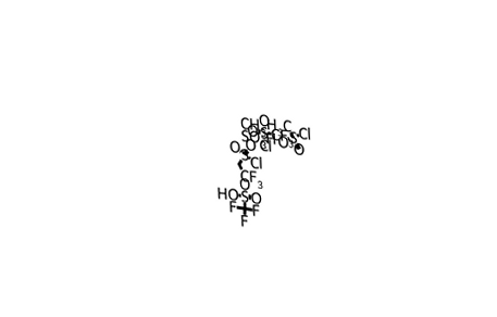 CS(=O)(=O)Cl.CS(=O)(=O)O.O=S(=O)(Cl)C(F)(F)F.O=S(=O)(Cl)CC(F)(F)F.O=S(=O)(O)C(F)(F)F